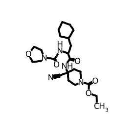 CCOC(=O)N1CCC(C#N)(NC(=O)C(CC2CCCCC2)NC(=O)N2CCOCC2)CC1